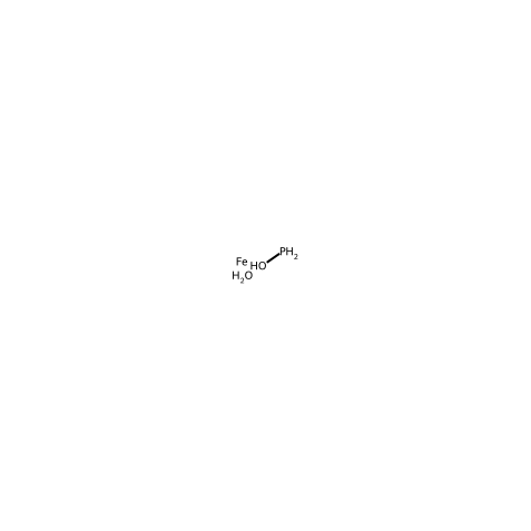 O.OP.[Fe]